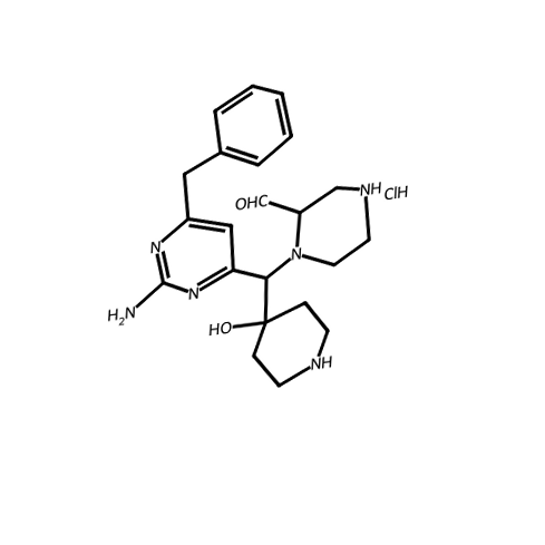 Cl.Nc1nc(Cc2ccccc2)cc(C(N2CCNCC2C=O)C2(O)CCNCC2)n1